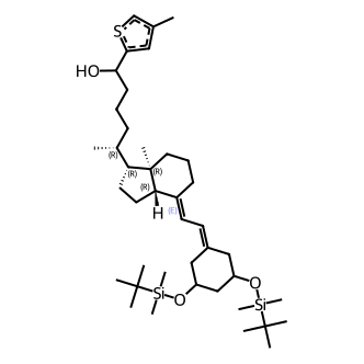 Cc1csc(C(O)CCC[C@@H](C)[C@H]2CC[C@H]3/C(=C/C=C4CC(O[Si](C)(C)C(C)(C)C)CC(O[Si](C)(C)C(C)(C)C)C4)CCC[C@]23C)c1